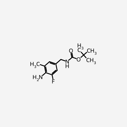 Cc1cc(CNC(=O)OC(C)(C)C)cc(F)c1N